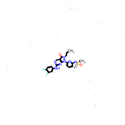 C=CCn1c(=O)c2cnc(Nc3ccc(F)c(F)c3)nc2n1-c1cccc(N=S(C)(C)=O)n1